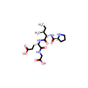 CC[C@H](C)[C@H](NC(=O)[C@@H]1CCCN1)C(=O)N[C@@H](CCC(=O)O)C(=O)NCC(=O)O